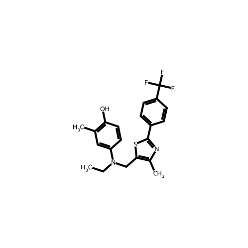 CCN(Cc1sc(-c2ccc(C(F)(F)F)cc2)nc1C)c1ccc(O)c(C)c1